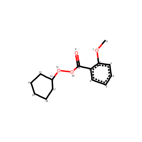 COc1ccccc1C(=O)OO[C]1CCCCC1